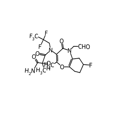 CC1=C(N(CC(F)(F)C(F)(F)F)C(=O)C(C)(O)C(N)=O)C(=O)N(CC=O)C2=C(CCC(F)C2)O1